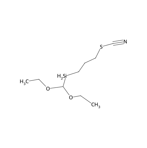 CCOC(OCC)[SiH2]CCCSC#N